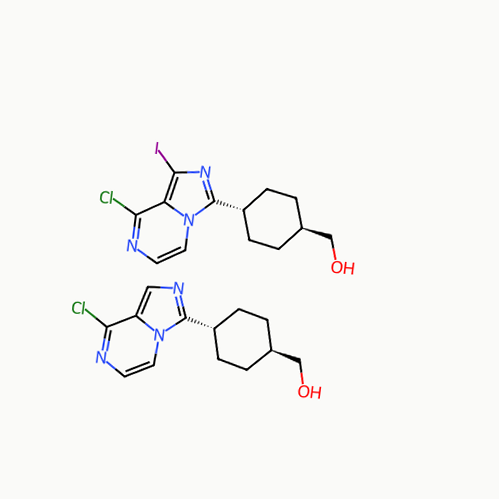 OC[C@H]1CC[C@H](c2nc(I)c3c(Cl)nccn32)CC1.OC[C@H]1CC[C@H](c2ncc3c(Cl)nccn32)CC1